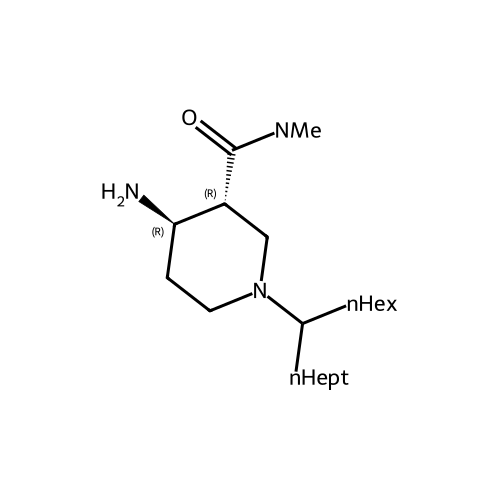 CCCCCCCC(CCCCCC)N1CC[C@@H](N)[C@H](C(=O)NC)C1